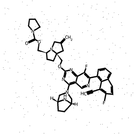 C#Cc1c(F)ccc2cccc(-c3ncc4c(N5C[C@H]6CC[C@@H](C5)N6)nc(OC[C@@]56CC[C@@H](COC(=O)N7CCCC7)N5CC(=C)C6)nc4c3F)c12